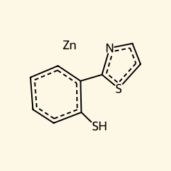 Sc1ccccc1-c1nccs1.[Zn]